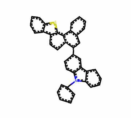 c1ccc(-n2c3ccccc3c3cc(-c4cc5ccccc5c5c4ccc4c6ccccc6sc45)ccc32)cc1